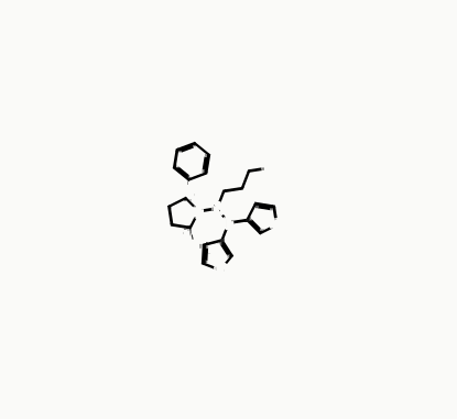 CCCCN(P(c1ccoc1)c1ccoc1)P1[C@@H](c2ccccc2)CC[C@@H]1P